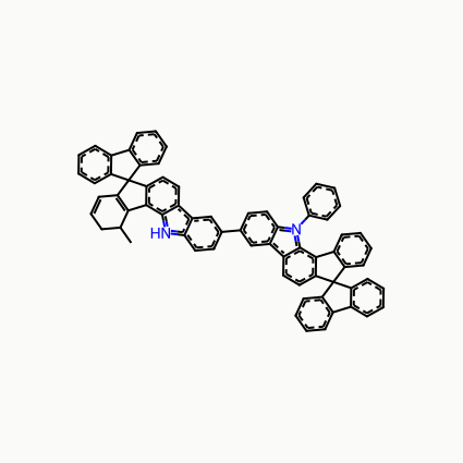 CC1CC=CC2=C1c1c(ccc3c1[nH]c1ccc(-c4ccc5c(c4)c4ccc6c(c4n5-c4ccccc4)-c4ccccc4C64c5ccccc5-c5ccccc54)cc13)C21c2ccccc2-c2ccccc21